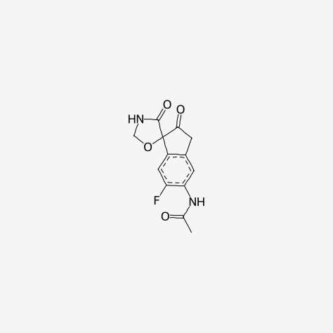 CC(=O)Nc1cc2c(cc1F)C1(OCNC1=O)C(=O)C2